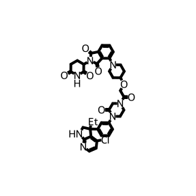 CCC1(c2cccc(N3CCN(C(=O)COC4CCN(c5cccc6c5C(=O)N(C5CCC(=O)NC5=O)C6=O)CC4)CC3=O)c2)CNc2nccc(Cl)c21